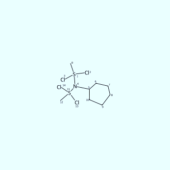 CS(Cl)(Cl)N(C1CCCCC1)S(C)(Cl)Cl